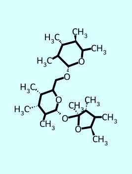 CC1[C@@H](C)[C@](C)(O[C@H]2OC(CO[C@H]3OC(C)[C@H](C)[C@@H](C)C3C)[C@@H](C)[C@@H](C)C2C)O[C@@H]1C